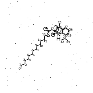 CCCCCCCCCCCCCCSC(=O)CS(=O)(=O)Nc1c(C(C)C)cccc1C(C)C